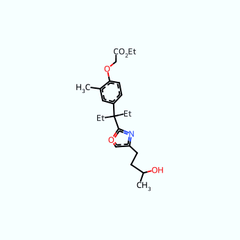 CCOC(=O)COc1ccc(C(CC)(CC)c2nc(CCC(C)O)co2)cc1C